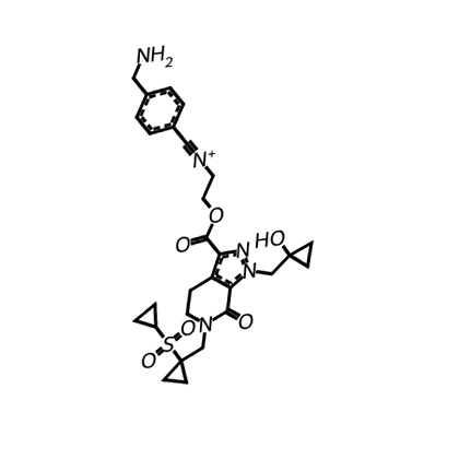 NCc1ccc(C#[N+]CCOC(=O)c2nn(CC3(O)CC3)c3c2CCN(CC2(S(=O)(=O)C4CC4)CC2)C3=O)cc1